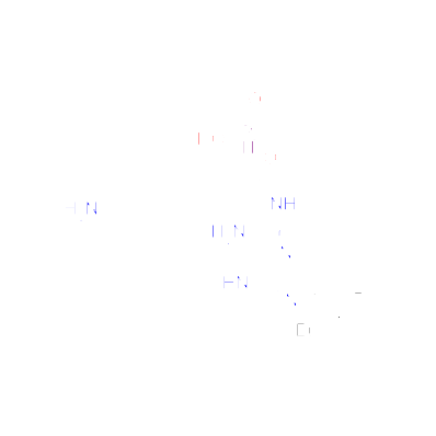 C=C(/N=C(\N=C(/N)NCO[PH](=O)O)NCCCCCCN)C(C)(CC)CC